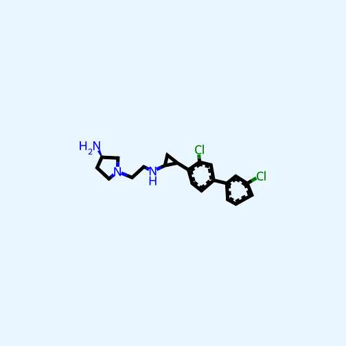 N[C@@H]1CCN(CCNC2CC2c2ccc(-c3cccc(Cl)c3)cc2Cl)C1